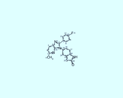 Cc1ccc2nc(-c3ccc(F)cc3)n(-c3ccc4[nH]c(=O)sc4c3)c2n1